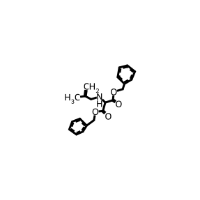 C=C(C)CNC(C(=O)OCc1ccccc1)C(=O)OCc1ccccc1